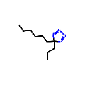 CCCCCCC1(CCC)N=NN=N1